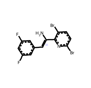 N/C(=C\c1cc(F)cc(F)c1)c1nc(Br)ccc1Br